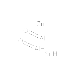 [O]=[AlH].[O]=[AlH].[SnH2].[Zn]